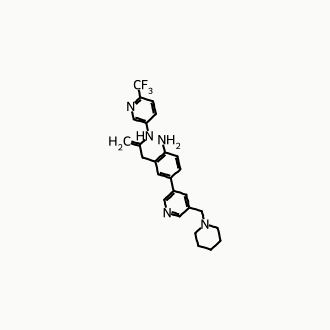 C=C(Cc1cc(-c2cncc(CN3CCCCC3)c2)ccc1N)Nc1ccc(C(F)(F)F)nc1